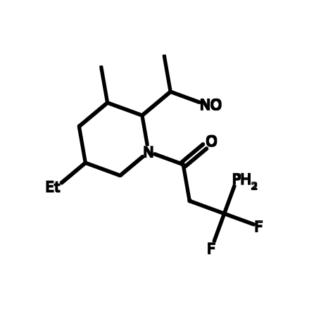 CCC1CC(C)C(C(C)N=O)N(C(=O)CC(F)(F)P)C1